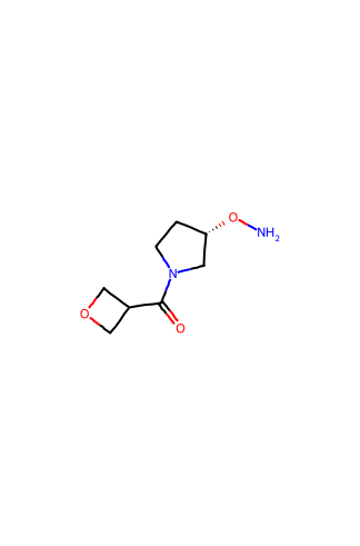 NO[C@H]1CCN(C(=O)C2COC2)C1